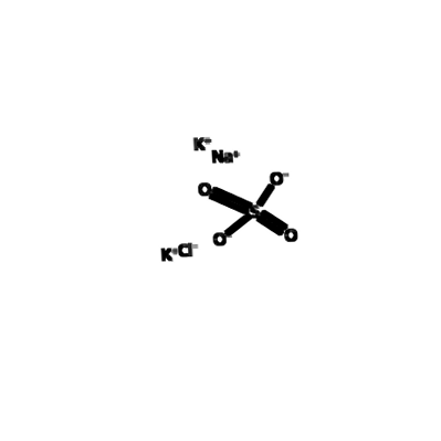 O=S(=O)([O-])[O-].[Cl-].[K+].[K+].[Na+]